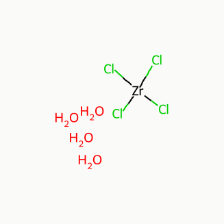 O.O.O.O.[Cl][Zr]([Cl])([Cl])[Cl]